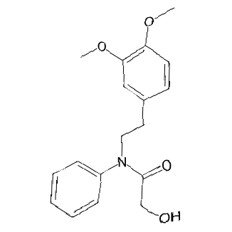 COc1ccc(CCN(C(=O)CO)c2ccccc2)cc1OC